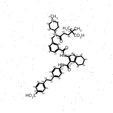 CN1CCC(N(Cc2cccc(C(=O)Nc3sc4c(c3C(=O)Nc3ccc(CCc5ccc(C(=O)O)cc5)cc3)CCCC4)c2)C(=O)CCC(C)(C)C(=O)O)CC1